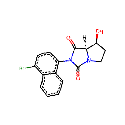 O=C1[C@H]2[C@@H](O)CCN2C(=O)N1c1ccc(Br)c2ccccc12